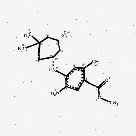 COC(=O)c1cc(N)c(N[C@H]2C[C@@H](C)CC(C)(C)C2)cc1C